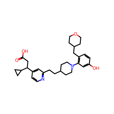 O=C(O)CC(c1ccnc(CCC2CCN(c3cc(O)ccc3CC3CCOCC3)CC2)c1)C1CC1